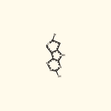 Sc1nnc2c(n1)[nH]c1cc(Br)ccc12